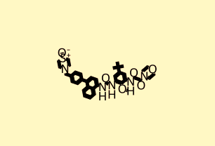 COc1c(NC(=O)Nc2ccc(-c3ccc(CN4CC[S+]([O-])CC4)cc3)c3ccccc23)cc(C(C)(C)C)cc1NC(=O)C(=O)N1CCOCC1